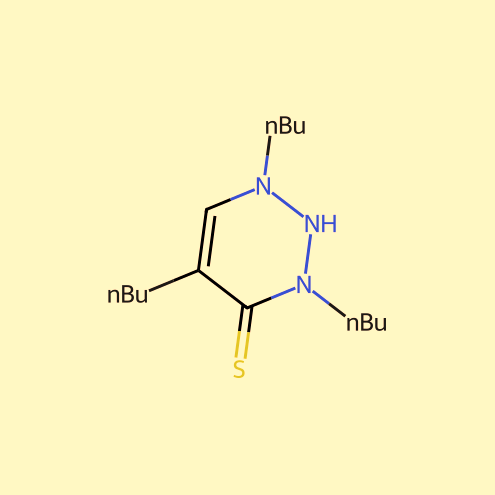 CCCCC1=CN(CCCC)NN(CCCC)C1=S